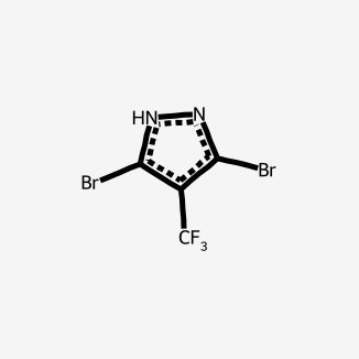 FC(F)(F)c1c(Br)n[nH]c1Br